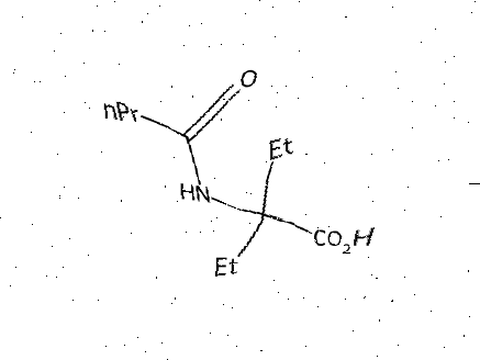 CCCC(=O)NC(CC)(CC)C(=O)O